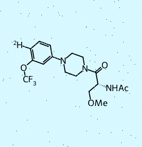 [2H]c1ccc(N2CCN(C(=O)[C@@H](COC)NC(C)=O)CC2)cc1OC(F)(F)F